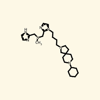 CN(Cc1ncc[nH]1)Cc1nccn1CCCCN1CCC2(CCN(C3CCCCC3)CC2)C1